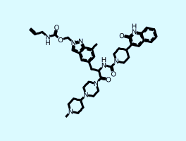 C=CCNC(=O)OCn1cc2cc(CC(NC(=O)N3CCC(c4cc5ccccc5[nH]c4=O)CC3)C(=O)N3CCN(C4CCN(C)CC4)CC3)cc(C)c2n1